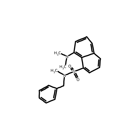 CN(C)c1cccc2cccc(S(=O)(=O)N(C)Cc3ccccc3)c12